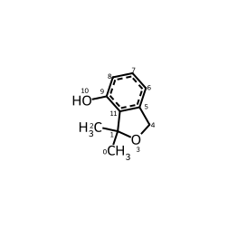 CC1(C)OCc2cccc(O)c21